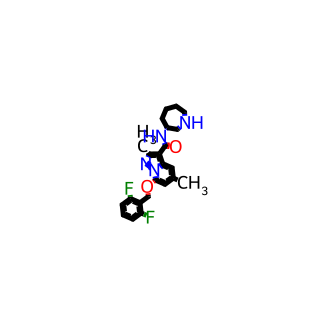 Cc1cc(OCc2c(F)cccc2F)n2nc(C)c(C(=O)NC3CCCCNC3)c2c1